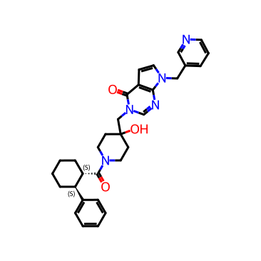 O=C([C@H]1CCCC[C@@H]1c1ccccc1)N1CCC(O)(Cn2cnc3c(ccn3Cc3cccnc3)c2=O)CC1